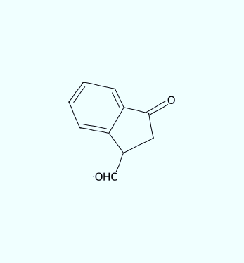 O=[C]C1CC(=O)c2ccccc21